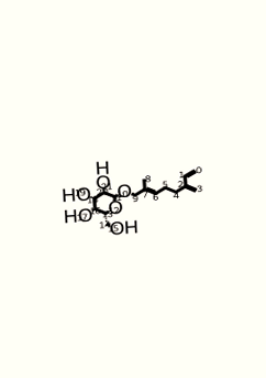 C=CC(=C)CC/C=C(\C)COC1O[C@H](CO)[C@@H](O)[C@H](O)[C@H]1O